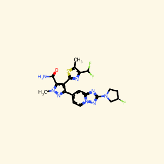 Cc1sc(-c2c(-c3ccn4nc(N5CC[C@@H](F)C5)nc4c3)nn(C)c2C(N)=O)nc1C(F)F